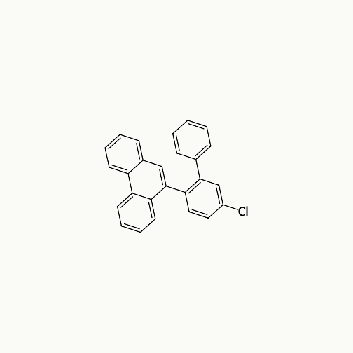 Clc1ccc(-c2cc3ccccc3c3ccccc23)c(-c2ccccc2)c1